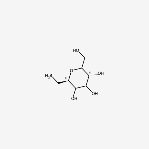 BC[C@H]1OC(CO)[C@H](O)C(O)C1O